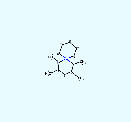 CC1CC(C)C(C)[N+]2(CCCCC2)C1C